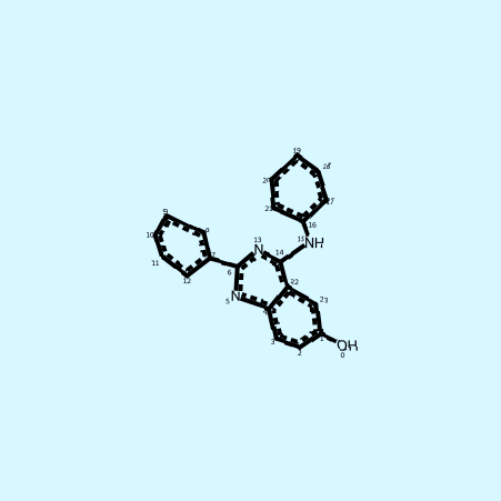 Oc1ccc2nc(-c3ccccc3)nc(Nc3ccccc3)c2c1